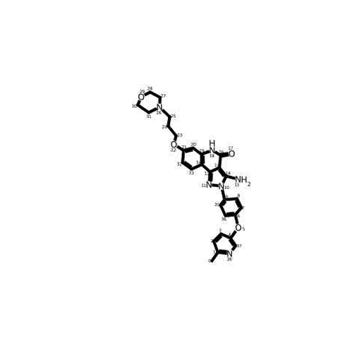 Cc1ccc(Oc2ccc(-n3nc4c(c3N)c(=O)[nH]c3cc(OCCCN5CCOCC5)ccc34)cc2)cn1